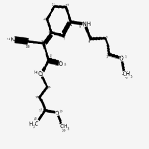 COCCCNC1=C/C(=C(/C#N)C(=O)OCCC(C)OC)CCC1